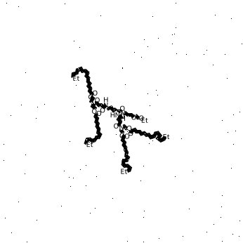 CC/C=C\C/C=C\C/C=C\CCCCCCCC(=O)OCCN(CCOC(=O)CCCCCCC/C=C\C/C=C\C/C=C\CC)C(=O)CCC(=O)NCCCC[C@H](NC(=O)CCC(=O)N(CCOC(=O)CCCCCCC/C=C\C/C=C\C/C=C\CC)CCOC(=O)CCCCCCC/C=C\C/C=C\C/C=C\CC)C(=O)NCCCOCCOCC